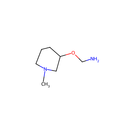 CN1CCCC(OCN)C1